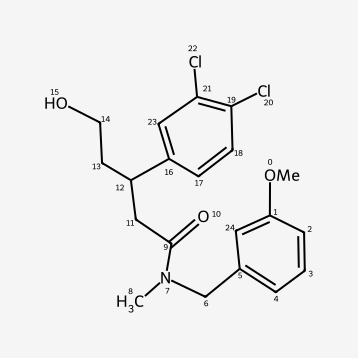 COc1cccc(CN(C)C(=O)CC(CCO)c2ccc(Cl)c(Cl)c2)c1